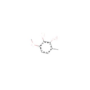 [CH2]c1ccc(OC)c(O)c1O